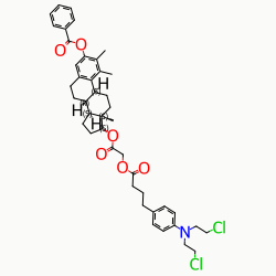 Cc1c(OC(=O)c2ccccc2)cc2c(c1C)[C@H]1CC[C@]3(C)[C@@H](OC(=O)COC(=O)CCCc4ccc(N(CCCl)CCCl)cc4)CC[C@H]3[C@@H]1CC2